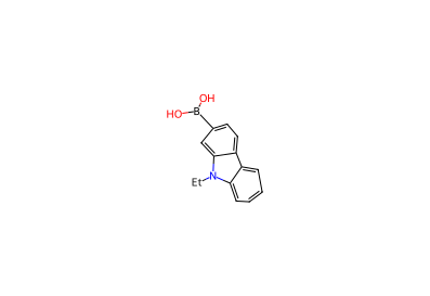 CCn1c2ccccc2c2ccc(B(O)O)cc21